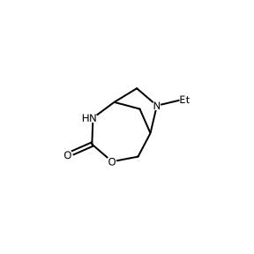 CCN1CC2CC1COC(=O)N2